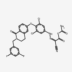 N#CC(=NNc1cc(Cl)c(Oc2ccc3c(c2)CCN(Cc2cc(F)cc(F)c2)C3=O)c(Cl)c1)C(=O)OC(N)=O